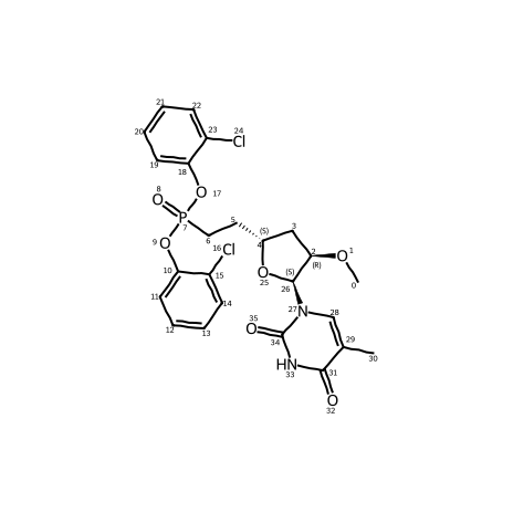 CO[C@@H]1C[C@@H](CCP(=O)(Oc2ccccc2Cl)Oc2ccccc2Cl)O[C@@H]1n1cc(C)c(=O)[nH]c1=O